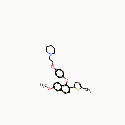 COc1ccc2c(Oc3ccc(OCCN4CCCCC4)cc3)c(C3CC=C(C)S3)ccc2c1